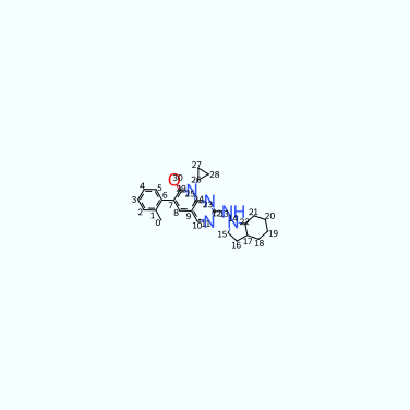 Cc1ccccc1-c1cc2cnc(NN3CCC4CCCCC43)nc2n(C2CC2)c1=O